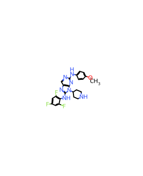 COc1ccc(Nc2ncc3nc(Nc4c(F)cc(F)cc4F)n(C4CCNCC4)c3n2)cc1